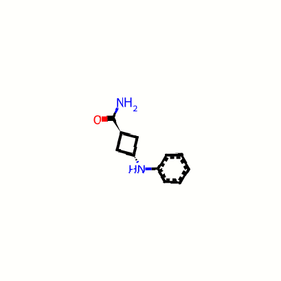 NC(=O)[C@H]1C[C@H](Nc2ccccc2)C1